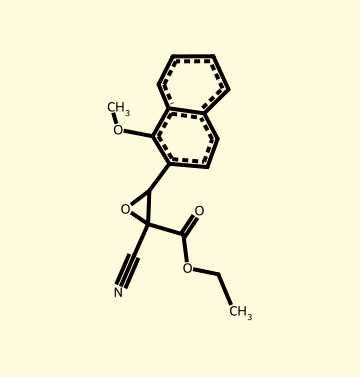 CCOC(=O)C1(C#N)OC1c1ccc2ccccc2c1OC